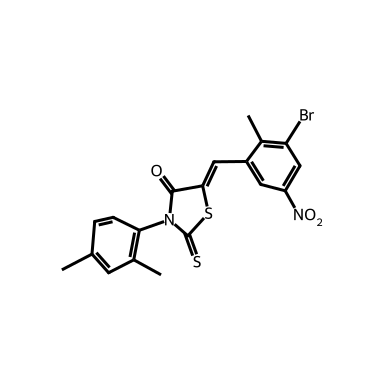 Cc1ccc(N2C(=O)/C(=C/c3cc([N+](=O)[O-])cc(Br)c3C)SC2=S)c(C)c1